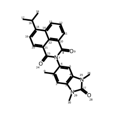 Cc1cc2c(cc1N1C(=O)c3cccc4c(C(C)C)ccc(c34)C1=O)n(C)c(=O)n2C